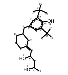 CC(O)CC(O)C=C1CCCC(Cc2cc(C(C)(C)C)c(O)c(C(C)(C)C)c2)C1